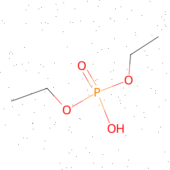 CCOP(=O)(O)OCC